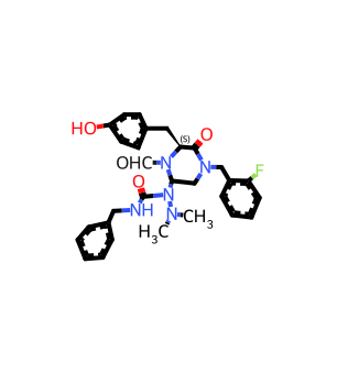 CN(C)N(C(=O)NCc1ccccc1)C1CN(Cc2ccccc2F)C(=O)[C@H](Cc2ccc(O)cc2)N1C=O